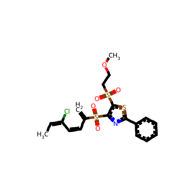 C=C(/C=C\C(Cl)=C/C)S(=O)(=O)c1nc(-c2ccccc2)sc1S(=O)(=O)CCOC